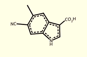 Cc1cc2c(C(=O)O)c[nH]c2cc1C#N